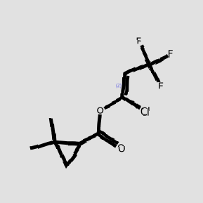 CC1(C)CC1C(=O)O/C(Cl)=C/C(F)(F)F